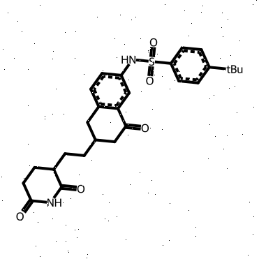 CC(C)(C)c1ccc(S(=O)(=O)Nc2ccc3c(c2)C(=O)CC(CCC2CCC(=O)NC2=O)C3)cc1